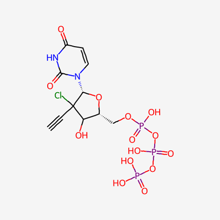 C#CC1(Cl)C(O)[C@@H](COP(=O)(O)OP(=O)(O)OP(=O)(O)O)O[C@H]1n1ccc(=O)[nH]c1=O